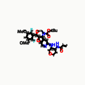 C=CC(=O)N[C@H]1CCOC[C@H]1Nc1cc2c(N(C)C(=O)OC(C)(C)C)c(C(=O)c3c(F)c(OC)cc(OC)c3F)oc2cn1